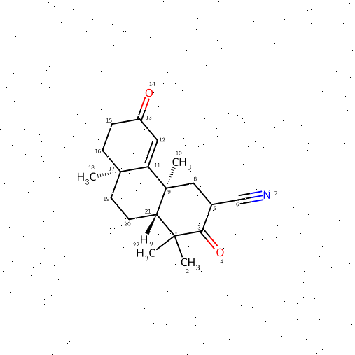 CC1(C)C(=O)C(C#N)C[C@]2(C)C3=CC(=O)CC[C@]3(C)CC[C@@H]12